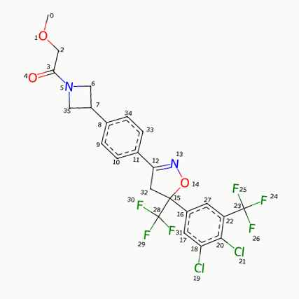 COCC(=O)N1CC(c2ccc(C3=NOC(c4cc(Cl)c(Cl)c(C(F)(F)F)c4)(C(F)(F)F)C3)cc2)C1